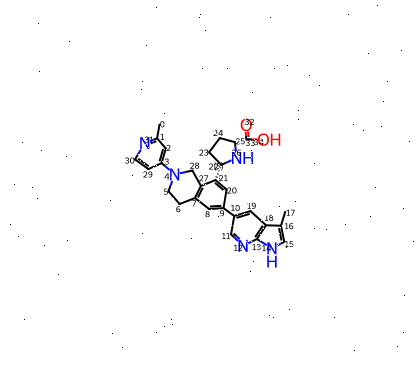 Cc1cc(N2CCc3cc(-c4cnc5[nH]cc(C)c5c4)cc([C@@H]4CCCN4)c3C2)ccn1.O=CO